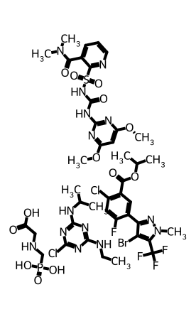 CC(C)OC(=O)c1cc(-c2nn(C)c(C(F)(F)F)c2Br)c(F)cc1Cl.CCNc1nc(Cl)nc(NC(C)C)n1.COc1cc(OC)nc(NC(=O)NS(=O)(=O)c2ncccc2C(=O)N(C)C)n1.O=C(O)CNCP(=O)(O)O